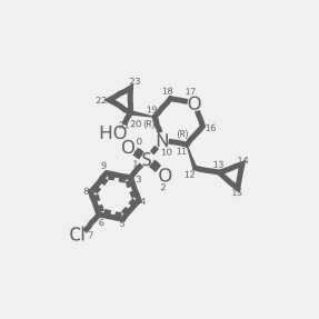 O=S(=O)(c1ccc(Cl)cc1)N1[C@H](CC2CC2)COC[C@@H]1C1(O)CC1